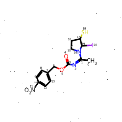 CC(=NC(=O)OCc1ccc([N+](=O)[O-])cc1)N1CCC(S)C1I